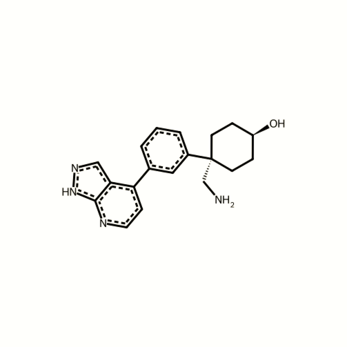 NC[C@]1(c2cccc(-c3ccnc4[nH]ncc34)c2)CC[C@@H](O)CC1